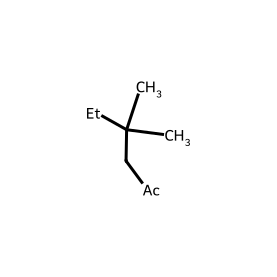 [CH2]C(=O)CC(C)(C)CC